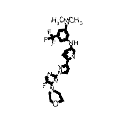 CN(C)c1cc(Nc2ccc(-c3ccn(-c4ncc(F)c(N5CCOCC5)n4)n3)nc2)cc(C(F)(F)F)c1